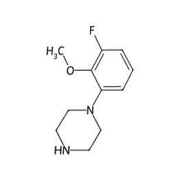 COc1c(F)cccc1N1CCNCC1